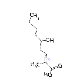 CCCCC(O)C/C=C(\C)C(=O)O